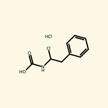 Cl.O=C(O)NC(Cl)Cc1ccccc1